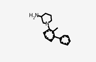 Cc1c(-c2ccccc2)cccc1N1CCCC(N)C1